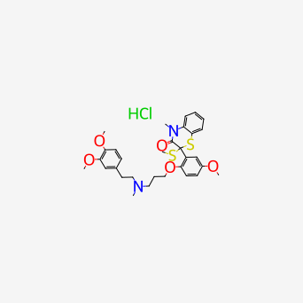 COc1ccc(OCCCN(C)CCc2ccc(OC)c(OC)c2)c(C2(SC)Sc3ccccc3N(C)C2=O)c1.Cl